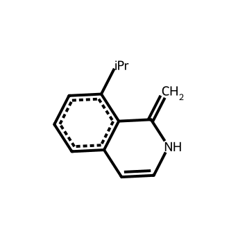 C=C1NC=Cc2cccc(C(C)C)c21